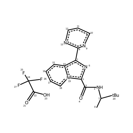 CC(NC(=O)c1nc(-c2ncccn2)c2ccccn12)C(C)(C)C.O=C(O)C(F)(F)F